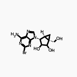 Nc1nc(Br)nc2c1ncn2[C@H]1C(O)C(O)[C@]2(CO)C[C@H]12